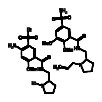 C=CCN1CCCC1CNC(=O)c1cc(S(N)(=O)=O)cc(OC)c1OC.CCN1CCCC1CNC(=O)c1cc(S(=O)(=O)CC)c(N)cc1OC